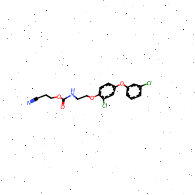 N#CCCOC(=O)NCCOc1ccc(Oc2cccc(Cl)c2)cc1Cl